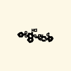 COc1ccccc1N1CCN(CC(O)COc2c(C)cc(OC(=O)c3ccccc3)c3ccccc23)CC1.Cl